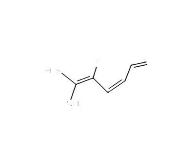 B/C(N)=C(F)/C=C\C=C